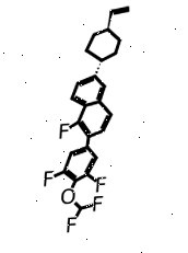 C=C[C@H]1CC[C@H](c2ccc3c(F)c(-c4cc(F)c(OC(F)F)c(F)c4)ccc3c2)CC1